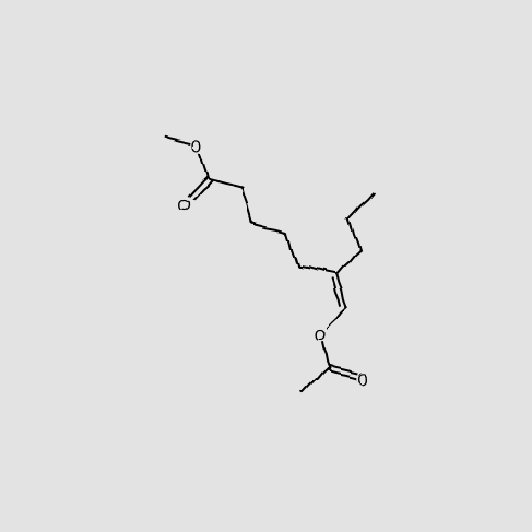 CCC/C(=C/OC(C)=O)CCCCC(=O)OC